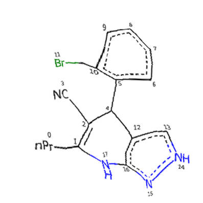 CCCC1=C(C#N)C(c2ccccc2Br)c2c[nH]nc2N1